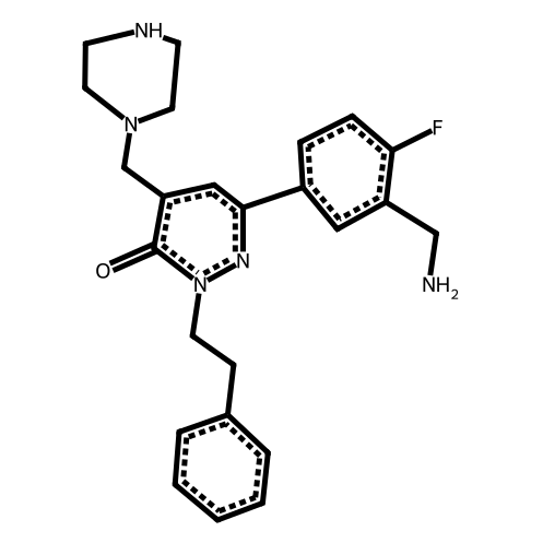 NCc1cc(-c2cc(CN3CCNCC3)c(=O)n(CCc3ccccc3)n2)ccc1F